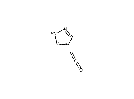 C=C=O.c1cn[nH]c1